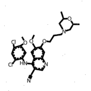 COc1cc(Nc2c(C#N)cnc3cc(OCCCN4CC(C)OC(C)C4)c(OC)cc23)c(Cl)cc1Cl